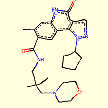 Cc1cc2[nH]c(=O)c3cnn(C4CCCC4)c3c2cc1C(=O)NCC(C)(C)CN1CCOCC1